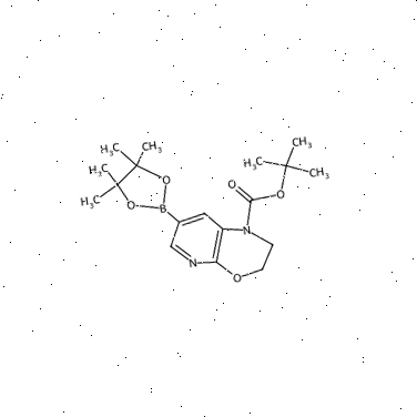 CC(C)(C)OC(=O)N1CCOc2ncc(B3OC(C)(C)C(C)(C)O3)cc21